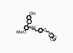 COc1ccc(C2CCc3cc(O)ccc3C2)c(NCCCc2ccc(OCCN3CCC4(CC3)OCCO4)cc2)c1